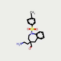 Cc1ccc(S(=O)(=O)N2CCC(C=O)(CCN)Cc3ccccc32)cc1